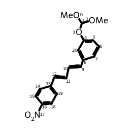 COC(OC)Oc1cccc(C=CC=Cc2ccc([N+](=O)[O-])cc2)c1